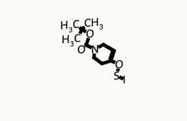 CC(C)(C)OC(=O)N1CC=C(OSI)CC1